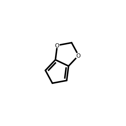 C1=C2OCOC2=CC1